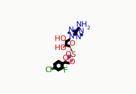 Nc1ncnc2c1ncn2[C@@H]1O[C@H](COP2(=S)OCC(c3ccc(Cl)cc3F)O2)[C@@H](O)[C@H]1O